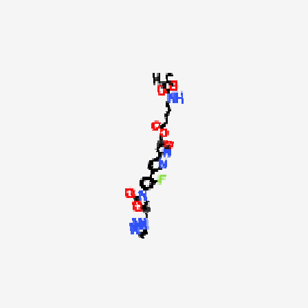 COC(=O)NCCCCC(=O)OC[C@@H]1CC(c2ccc(-c3ccc(N4C[C@H](Cn5ccnn5)OC4=O)cc3F)cn2)=NO1